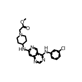 COC(=O)CN1CCC(Nc2cc3ncnc(Nc4cccc(Cl)c4)c3cn2)CC1